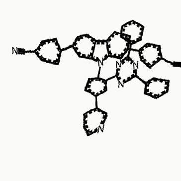 N#Cc1ccc(-c2ccc3c4ccc(-c5ccc(C#N)cc5)cc4n(-c4ccc(-c5cccnc5)cc4-c4nc(-c5ccccc5)nc(-c5ccccc5)n4)c3c2)cc1